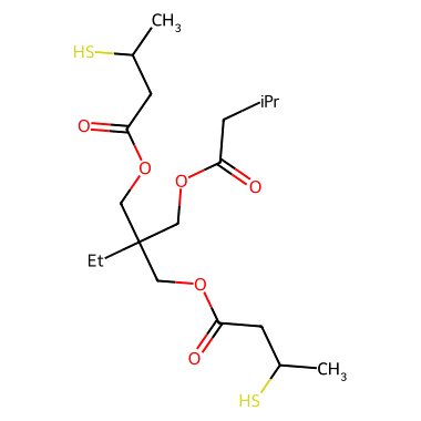 CCC(COC(=O)CC(C)C)(COC(=O)CC(C)S)COC(=O)CC(C)S